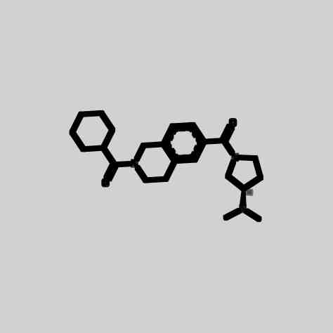 CN(C)[C@@H]1CCN(C(=O)c2ccc3c(c2)CCN(C(=O)C2CCCCC2)C3)C1